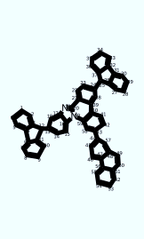 c1ccc2c(c1)-c1ccccc1C2c1ccc2c(c1)nc1c3ccc(C4c5ccccc5-c5ccccc54)cc3c3ccc(-c4ccc5c(ccc6ccccc65)c4)cc3n21